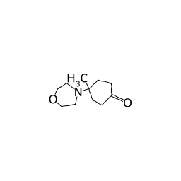 CC1(N2CCOCC2)CCC(=O)CC1